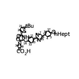 CCCCCCCOc1ccc(-c2cnc(-c3ccc(C[C@H](NC(=O)c4ccc(C(C)(C)C)s4)C(=O)N4CC(C(=O)O)C4)cc3)nc2)cc1